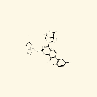 Nc1ccc(C(F)(F)F)c(-c2ccc3c(N4C[C@H]5CC[C@@H](C4)N5)nc(OC[C@@]45CCCN4C[C@H](F)C5)nc3c2F)c1